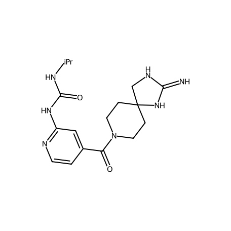 CC(C)NC(=O)Nc1cc(C(=O)N2CCC3(CC2)CNC(=N)N3)ccn1